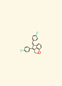 Fc1ccc(/C=C2/C(c3ccc(F)cc3)=C3CCOc4cccc2c43)cc1